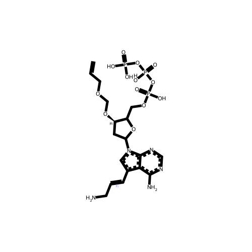 C=CCOCO[C@@H]1CC(n2cc(/C=C/CN)c3c(N)ncnc32)OC1COP(=O)(O)OP(=O)(O)OP(=O)(O)O